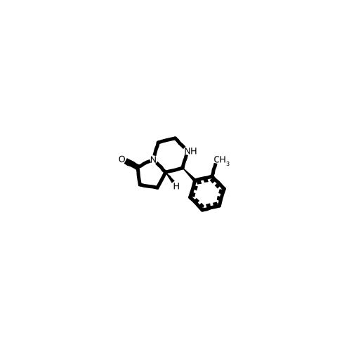 Cc1ccccc1[C@@H]1NCCN2C(=O)CC[C@@H]12